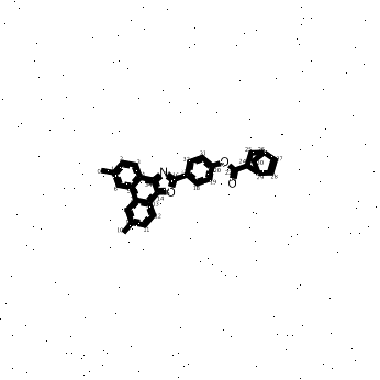 Cc1ccc2c(c1)c1cc(C)ccc1c1oc(-c3ccc(OC(=O)C4CC5C=CC4C5)cc3)nc21